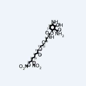 NC(=O)c1c(OC(=O)NCCOCCOCC(=O)CCCC(CO[N+](=O)[O-])O[N+](=O)[O-])ccc(N)c1O